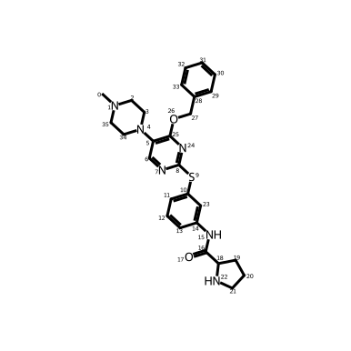 CN1CCN(c2cnc(Sc3cccc(NC(=O)C4CCCN4)c3)nc2OCc2ccccc2)CC1